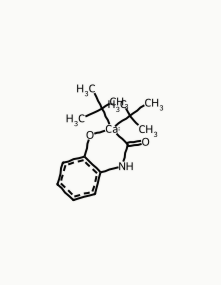 C[C](C)(C)[Ca]1([C](C)(C)C)[O]c2ccccc2N[C]1=O